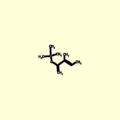 C=C(O[Si](C)(C)C)C(C)=CC